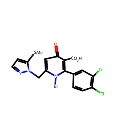 CCn1c(Cn2nccc2SC)cc(=O)c(C(=O)O)c1-c1ccc(Cl)c(Cl)c1